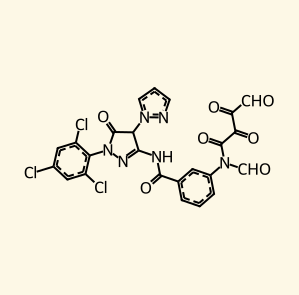 O=CC(=O)C(=O)C(=O)N(C=O)c1cccc(C(=O)NC2=NN(c3c(Cl)cc(Cl)cc3Cl)C(=O)C2n2cccn2)c1